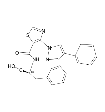 O=C(N[C@H](CO)Cc1ccccc1)c1scnc1-n1cc(-c2ccccc2)cn1